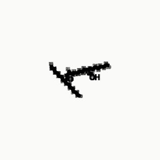 CCCCCCCCC(CCCCCCCC)C(=O)CC(C)CCCCCCN(CCO)CCCCCCCC